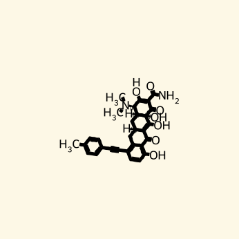 Cc1ccc(C#Cc2ccc(O)c3c2C[C@@H]2C[C@@H]4[C@@H](N(C)C)C(O)=C(C(N)=O)C(=O)[C@]4(O)C(O)=C2C3=O)cc1